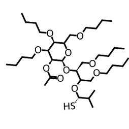 CCCCOCC1O[C@@H](O[C@@H](COCCCC)C(COCCCC)O[C@@H](S)C(C)C)[C@@H](OC(C)=O)C(OCCCC)[C@H]1OCCCC